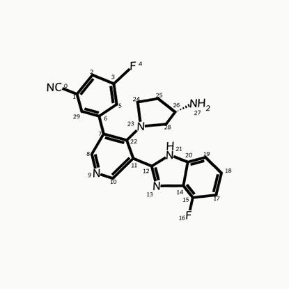 N#Cc1cc(F)cc(-c2cncc(-c3nc4c(F)cccc4[nH]3)c2N2CC[C@H](N)C2)c1